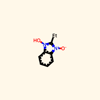 CCc1n(O)c2ccccc2[n+]1[O-]